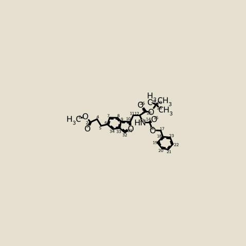 COC(=O)CCc1ccc2c(CC(NC(=O)OCc3ccccc3)C(=O)OC(C)(C)C)occ2c1